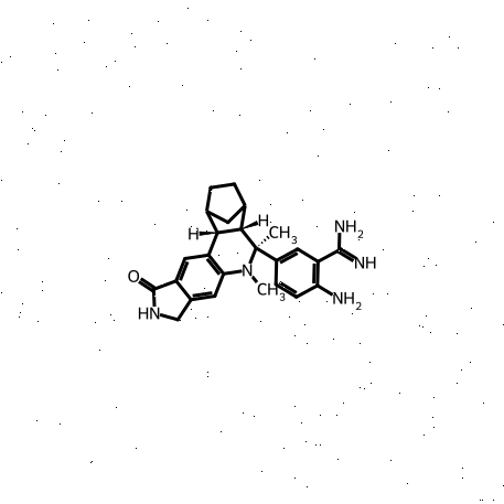 CN1c2cc3c(cc2[C@@H]2C4CCC(C4)[C@@H]2[C@@]1(C)c1ccc(N)c(C(=N)N)c1)C(=O)NC3